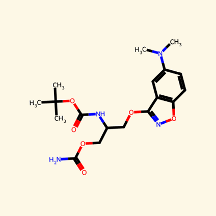 CN(C)c1ccc2onc(OCC(COC(N)=O)NC(=O)OC(C)(C)C)c2c1